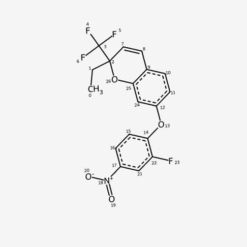 CCC1(C(F)(F)F)C=Cc2ccc(Oc3ccc([N+](=O)[O-])cc3F)cc2O1